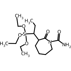 CCO[Si](OCC)(OCC)C(CC)C1CCCCN(C(N)=O)C1=O